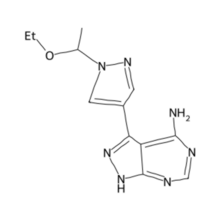 CCOC(C)n1cc(-c2n[nH]c3ncnc(N)c23)cn1